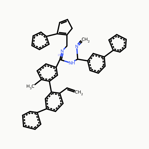 C=Cc1ccc(-c2ccccc2)cc1-c1cc(/C(=N/CC2=C(c3ccccc3)C=CC2)NC(N=C)c2cccc(-c3ccccc3)c2)ccc1C